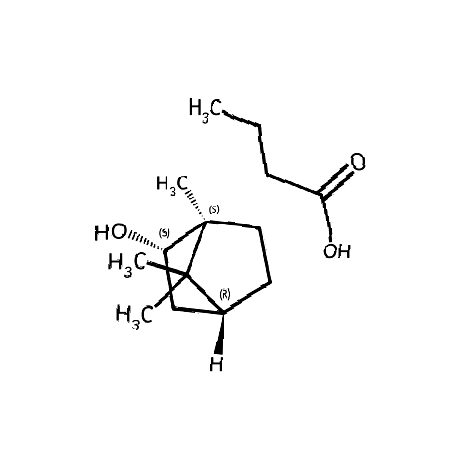 CC1(C)[C@@H]2CC[C@]1(C)[C@@H](O)C2.CCCC(=O)O